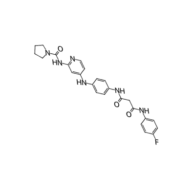 O=C(CC(=O)Nc1ccc(Nc2ccnc(NC(=O)N3CCCC3)c2)cc1)Nc1ccc(F)cc1